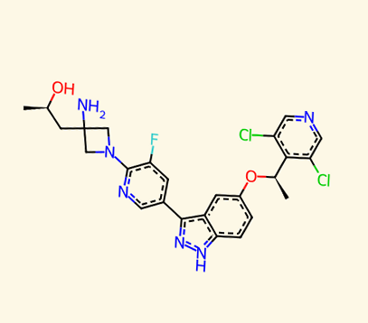 C[C@@H](O)CC1(N)CN(c2ncc(-c3n[nH]c4ccc(O[C@H](C)c5c(Cl)cncc5Cl)cc34)cc2F)C1